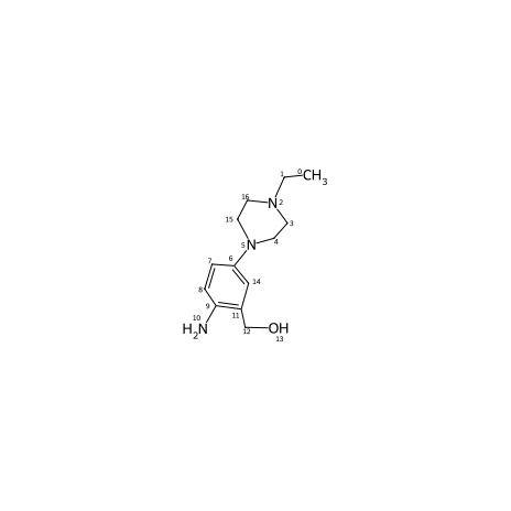 CCN1CCN(c2ccc(N)c(CO)c2)CC1